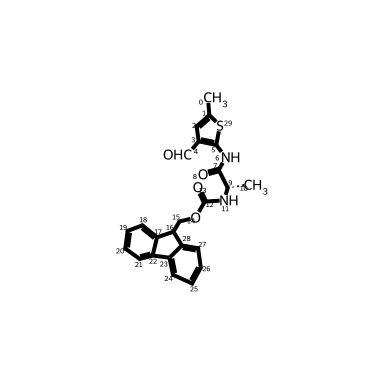 Cc1cc(C=O)c(NC(=O)[C@H](C)NC(=O)OCC2c3ccccc3-c3ccccc32)s1